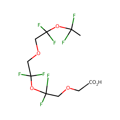 CC(F)(F)OC(F)(F)COCC(F)(F)OC(F)(F)COCC(=O)O